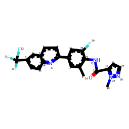 Cc1cc(-c2ccc3cc(C(F)(F)F)ccc3n2)cc(F)c1NC(=O)c1ccnn1C